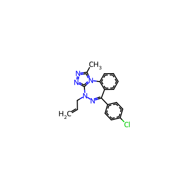 C=CCN1N=C(c2ccc(Cl)cc2)c2ccccc2-n2c(C)nnc21